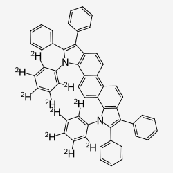 [2H]c1c([2H])c([2H])c(-n2c(-c3ccccc3)c(-c3ccccc3)c3ccc4c5ccc6c(-c7ccccc7)c(-c7ccccc7)n(-c7c([2H])c([2H])c([2H])c([2H])c7[2H])c6c5ccc4c32)c([2H])c1[2H]